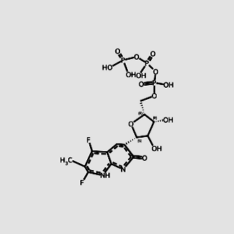 Cc1c(F)[nH]c2nc(=O)c([C@@H]3O[C@H](COP(=O)(O)OP(=O)(O)OP(=O)(O)O)[C@H](O)C3O)cc-2c1F